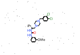 COc1cccc(NC(=O)N[C@H](CN2CCN(Cc3ccc(Cl)c(Cl)c3)CC2)C(C)C)c1